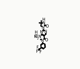 CN(C(=O)c1cnc(N2CC(C)(C)NC2=O)nc1N)c1cccc(C(F)(F)F)c1.Cl